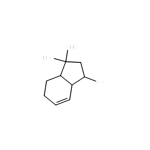 CC1CC(C)(C)C2CCC=CC12